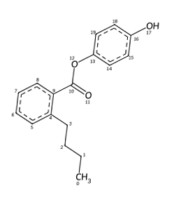 CCCCc1ccccc1C(=O)Oc1ccc(O)cc1